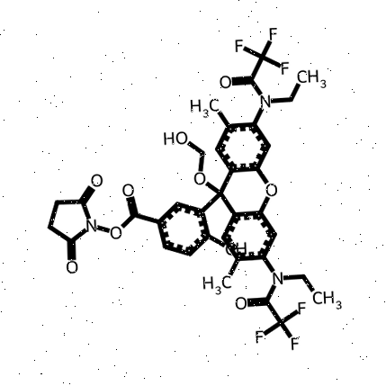 CCN(C(=O)C(F)(F)F)c1cc2c(cc1C)C(OCO)(c1cc(C(=O)ON3C(=O)CCC3=O)ccc1C)c1cc(C)c(N(CC)C(=O)C(F)(F)F)cc1O2